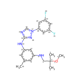 COC(C)(C)CNc1cc(C)cc(Nc2ncn(-c3cc(F)cc(F)c3)n2)c1